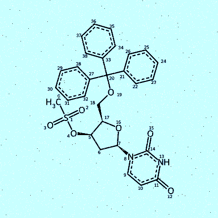 CS(=O)(=O)O[C@@H]1C[C@H](n2ccc(=O)[nH]c2=O)O[C@@H]1COC(c1ccccc1)(c1ccccc1)c1ccccc1